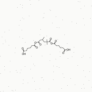 CC(CC(=O)OC(=O)CCCCC(=O)O)CC(C)(C)C(=O)OC(=O)CCCCC(=O)O